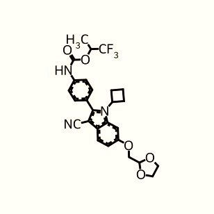 CC(OC(=O)Nc1ccc(-c2c(C#N)c3ccc(OCC4OCCO4)cc3n2C2CCC2)cc1)C(F)(F)F